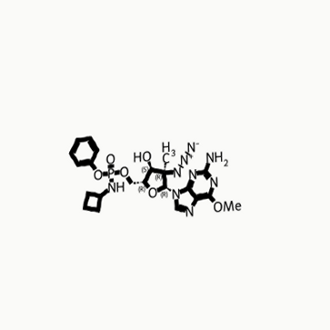 COc1nc(N)nc2c1ncn2[C@@H]1O[C@H](COP(=O)(NC2CCC2)Oc2ccccc2)[C@@H](O)[C@@]1(C)N=[N+]=[N-]